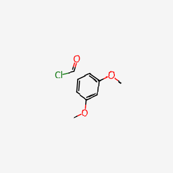 COc1cccc(OC)c1.O=CCl